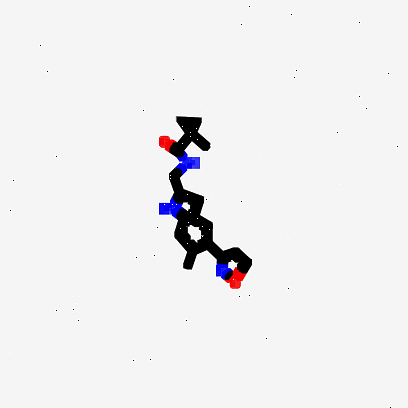 Cc1cc2[nH]c(CNC(=O)C3(C)CC3)cc2cc1-c1ccon1